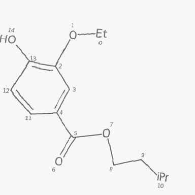 CCOc1cc(C(=O)OCCC(C)C)ccc1O